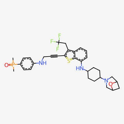 CP(C)(=O)c1ccc(NCC#Cc2sc3c(NC4CCC(N5CC6CC(C5)O6)CC4)cccc3c2CC(F)(F)F)cc1